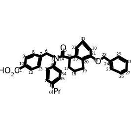 CC(C)c1ccc(N(Cc2ccc(C(=O)O)cc2)C(=O)C2CCCc3c(OCc4ccccc4)cccc32)cc1